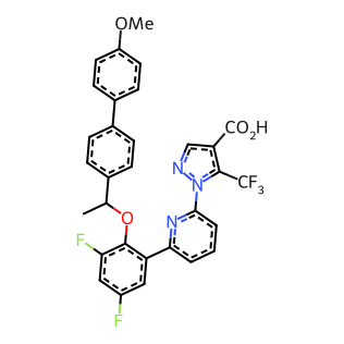 COc1ccc(-c2ccc(C(C)Oc3c(F)cc(F)cc3-c3cccc(-n4ncc(C(=O)O)c4C(F)(F)F)n3)cc2)cc1